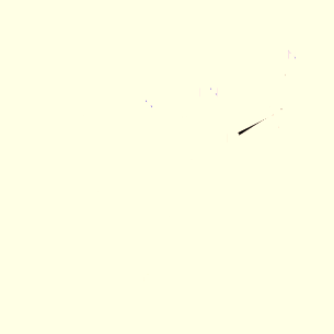 O=C(N[C@@H]1CN2CCC1CC2)N1CCc2ccccc2[C@H]1c1ccc(Cl)cc1